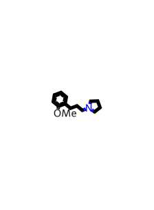 COc1ccccc1CCCN1CCCC1